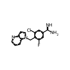 N=C(N)c1cc(F)c(Cn2ccc3ncccc32)c(Cl)c1